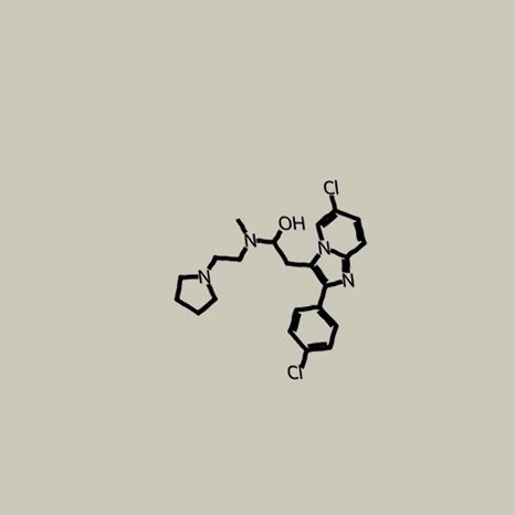 CN(CCN1CCCC1)C(O)Cc1c(-c2ccc(Cl)cc2)nc2ccc(Cl)cn12